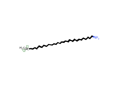 C[Si](Cl)(Cl)CCCCCCCCCCCCCCCCCCCCCCCCCCCCCCN